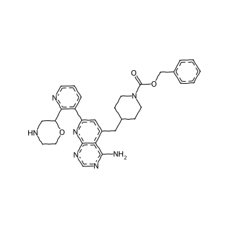 Nc1ncnc2nc(-c3cccnc3C3CNCCO3)cc(CC3CCN(C(=O)OCc4ccccc4)CC3)c12